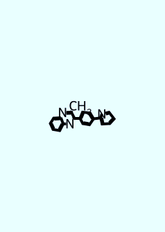 Cc1nc2ccccc2nc1-c1ccc(-c2ccccn2)cc1